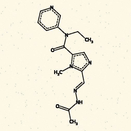 CCN(C(=O)c1cnc(C=NNC(C)=O)n1C)c1cccnc1